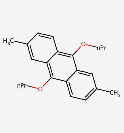 CCCOc1c2ccc(C)cc2c(OCCC)c2ccc(C)cc12